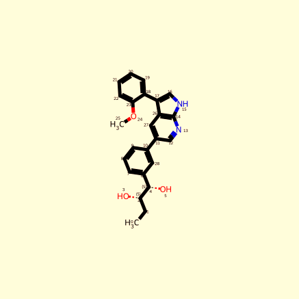 CC[C@H](O)[C@@H](O)c1cccc(-c2cnc3[nH]cc(-c4ccccc4OC)c3c2)c1